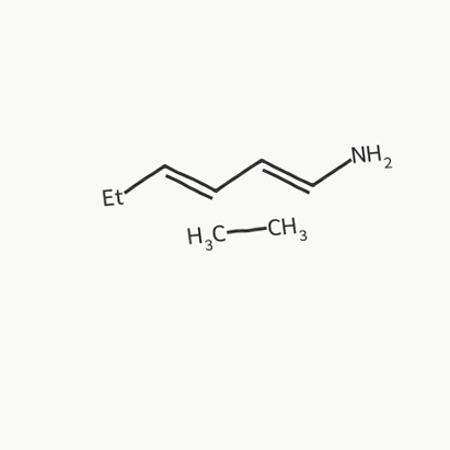 CC.CCC=CC=CN